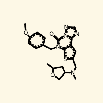 COc1ccc(Cn2c(=O)n3ncnc3c3cc(CN(C)C4COC(C)C4)sc32)cc1